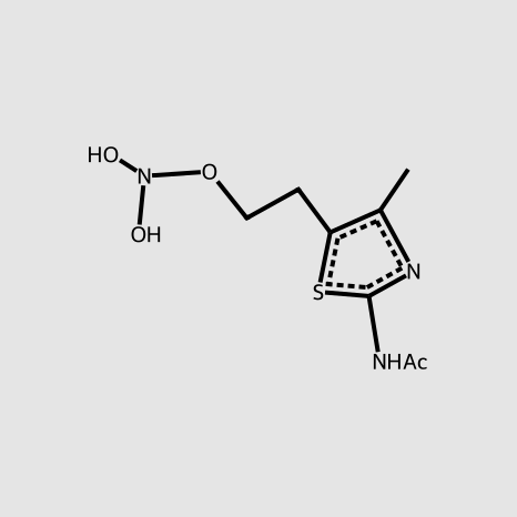 CC(=O)Nc1nc(C)c(CCON(O)O)s1